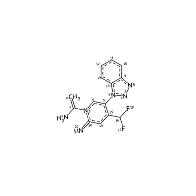 C=C(N)n1cc(-n2nnc3ccccc32)c(C(F)F)cc1=N